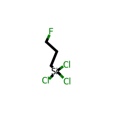 FCCC[Si](Cl)(Cl)Cl